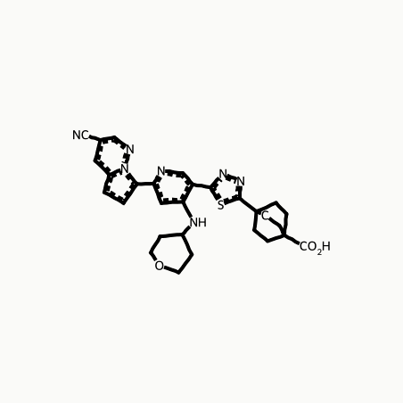 N#Cc1cnn2c(-c3cc(NC4CCOCC4)c(-c4nnc(C56CCC(C(=O)O)(CC5)CC6)s4)cn3)ccc2c1